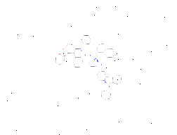 c1ccc(-c2nc3c(-c4cc(-c5ccc6c(c5)c5ccccc5n6-c5ccccc5)nc(-c5cccc6ccccc56)n4)cccc3c3c2ccc2oc4ccccc4c23)cc1